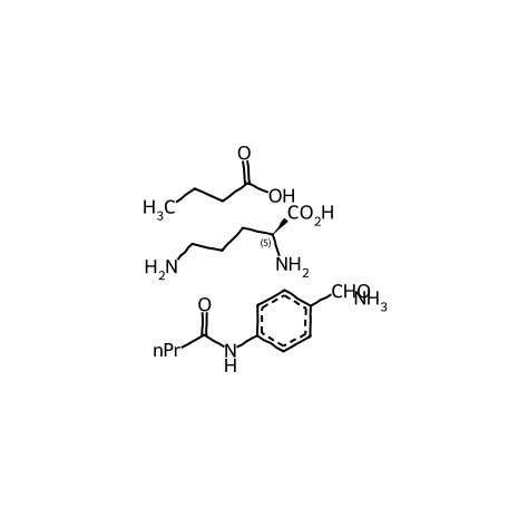 CCCC(=O)Nc1ccc(C=O)cc1.CCCC(=O)O.N.NCCC[C@H](N)C(=O)O